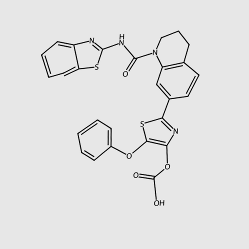 O=C(O)Oc1nc(-c2ccc3c(c2)N(C(=O)Nc2nc4ccccc4s2)CCC3)sc1Oc1ccccc1